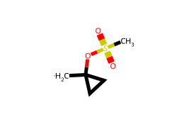 [CH2]C1(OS(C)(=O)=O)CC1